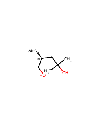 CN[C@H](CO)CC(C)(C)O